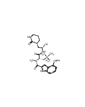 COc1cccc2[nH]c(C(=O)N(C)[C@@H](C[Si](C)(C)C)C(=O)N[C@H](C#N)C[C@@H]3CCCNC3=O)cc12